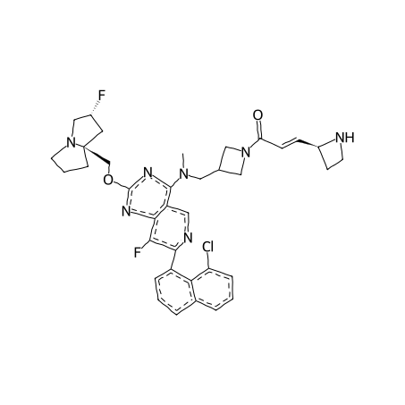 CN(CC1CN(C(=O)/C=C/[C@@H]2CCN2)C1)c1nc(OC[C@@]23CCCN2C[C@H](F)C3)nc2c(F)c(-c3cccc4cccc(Cl)c34)ncc12